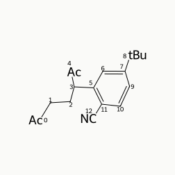 CC(=O)CCC(C(C)=O)c1cc(C(C)(C)C)ccc1C#N